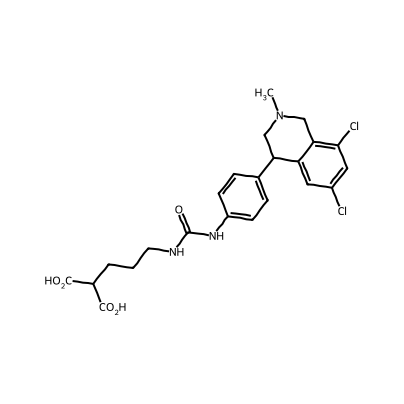 CN1Cc2c(Cl)cc(Cl)cc2C(c2ccc(NC(=O)NCCCC(C(=O)O)C(=O)O)cc2)C1